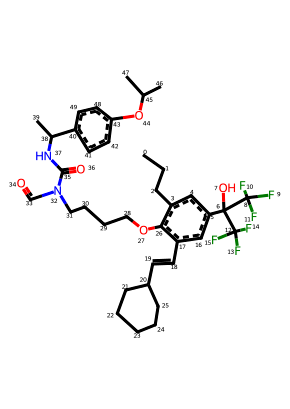 CCCc1cc(C(O)(C(F)(F)F)C(F)(F)F)cc(/C=C/C2CCCCC2)c1OCCCCN(C=O)C(=O)NC(C)c1ccc(OC(C)C)cc1